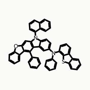 c1ccc(-c2c3c(cc4c2c2cc(N(c5ccccc5)c5cccc6c5sc5ccccc56)ccc2n4-c2cccc4ccccc24)oc2ccccc23)cc1